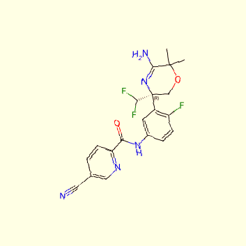 CC1(C)OC[C@](c2cc(NC(=O)c3ccc(C#N)cn3)ccc2F)(C(F)F)N=C1N